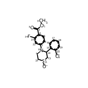 COC(=O)c1ccc(N2CC[S+]([O-])CC2c2ccccc2Cl)cc1F